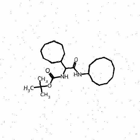 CC(C)(C)OC(=O)NC(C(=O)NC1CCCCCCCCC1)C1CCCCCCC1